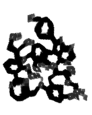 CCOC(=O)[C@@H](Cc1cc(O)ccc1OCc1ccnc(-c2ccccc2OC)n1)Oc1ncnc2sc(-c3ccc(F)cc3)c(-c3ccc(OC[C@H](O)CO)c(Cl)c3C)c12